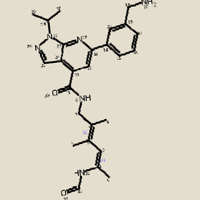 C/C(=C/C(C)=C(\C)CNC(=O)c1cc(-c2cccc(CN)c2)nc2c1cnn2C(C)C)NC=O